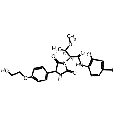 CO[C@H](C)[C@@H](C(=O)Nc1ccc(I)cc1Cl)N1C(=O)NC(c2ccc(OCCO)cc2)C1=O